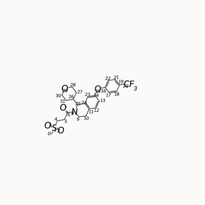 CS(=O)(=O)CCC(=O)N1CCc2ccc(Oc3ccc(C(F)(F)F)cc3)cc2C1C1CCOCC1